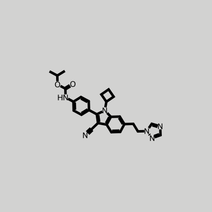 CC(C)OC(=O)Nc1ccc(-c2c(C#N)c3ccc(CCn4cncn4)cc3n2C2CCC2)cc1